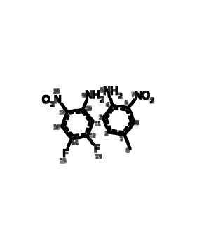 Cc1ccc(N)c([N+](=O)[O-])c1.Nc1cc(F)c(F)cc1[N+](=O)[O-]